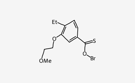 CCc1ccc(C(=S)OBr)cc1OCCOC